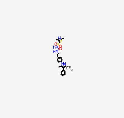 Cc1nc(C)c(S(=O)(=O)NC(=O)NCCc2ccc(-n3nc(C(F)(F)F)c(-c4ccccc4)c3C)cc2)s1